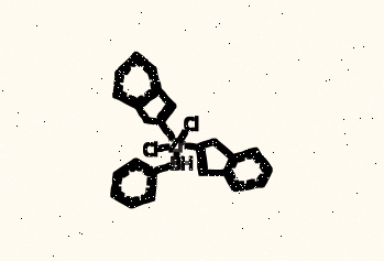 [Cl][Zr]([Cl])([BH]c1ccccc1)([C]1=Cc2ccccc2C1)[C]1=Cc2ccccc2C1